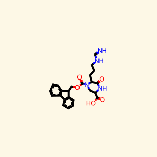 N=CNCCCC1C(=O)NC(C(=O)O)CN1C(=O)OCC1c2ccccc2-c2ccccc21